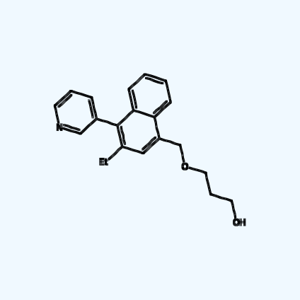 CCc1cc(COCCCO)c2ccccc2c1-c1cccnc1